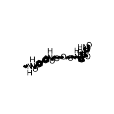 CCCNNC(=O)c1ccc(-c2ccc(NC(=O)COCCOCCOCCNc3cccc4c3C(=O)N(C3CCC(=O)NC3)C4=O)cc2)cc1